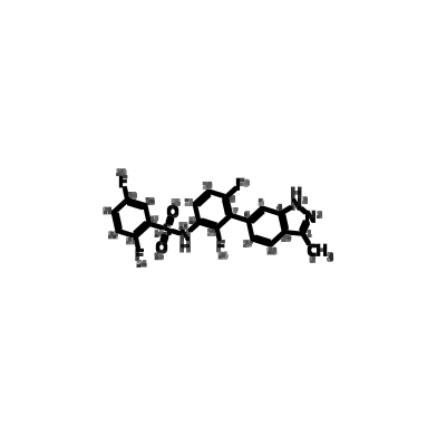 Cc1n[nH]c2cc(-c3c(F)ccc(NS(=O)(=O)c4cc(F)ccc4F)c3F)ccc12